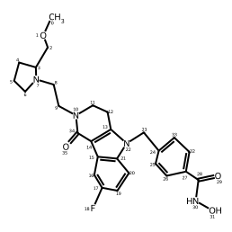 COCC1CCCN1CCN1CCc2c(c3cc(F)ccc3n2Cc2ccc(C(=O)NO)cc2)C1=O